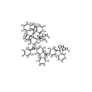 CC1(C)c2ccccc2-c2cc(-n3c4ccccc4c4cc(N(c5ccccc5)c5ccc6c(c5)[Si](C)(C)c5ccccc5C65c6ccccc6-c6cccc7cccc5c67)ccc43)ccc21